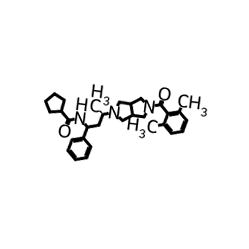 Cc1cccc(C)c1C(=O)N1CC2CN([C@@H](C)CC(NC(=O)C3CCCC3)c3ccccc3)CC2C1